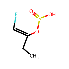 CCC(=CF)OS(=O)O